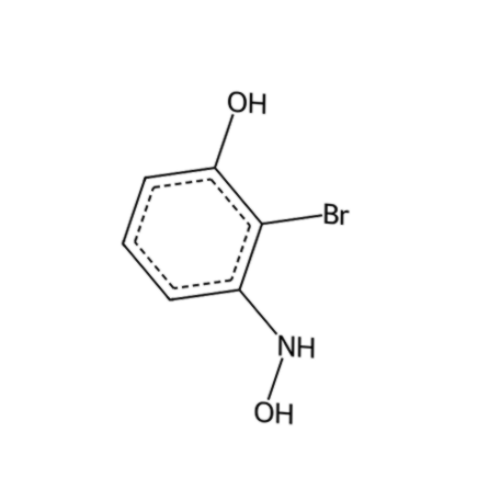 ONc1cccc(O)c1Br